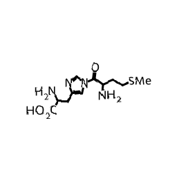 CSCCC(N)C(=O)n1cnc(CC(N)C(=O)O)c1